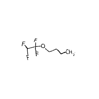 [CH2]CCCOC(F)(F)C(F)F